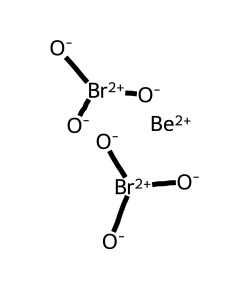 [Be+2].[O-][Br+2]([O-])[O-].[O-][Br+2]([O-])[O-]